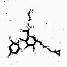 O=C(NOCCO)c1cc(/C=N/OCC2CC2)c(F)c(F)c1Nc1ccc(I)cc1F